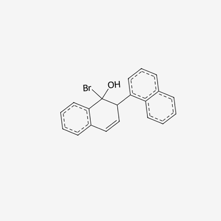 OC1(Br)c2ccccc2C=CC1c1cccc2ccccc12